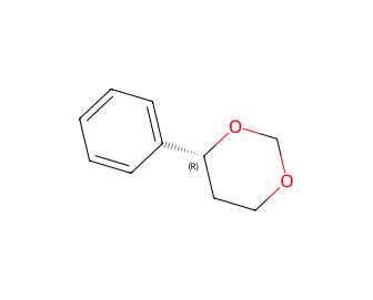 c1ccc([C@H]2CCOCO2)cc1